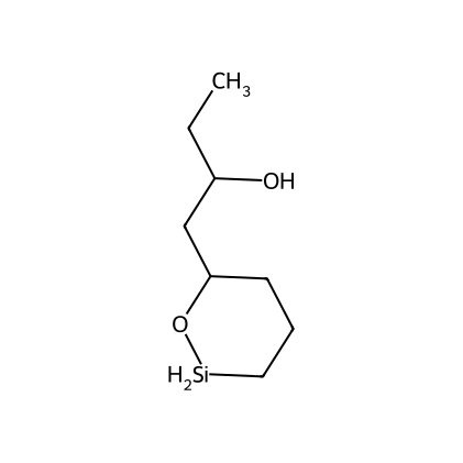 CCC(O)CC1CCC[SiH2]O1